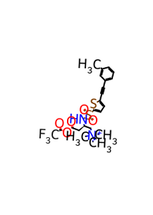 Cc1cccc(C#Cc2ccc(S(=O)(=O)N[C@H](CC(=O)OC(=O)C(F)(F)F)C[N+](C)(C)C)s2)c1